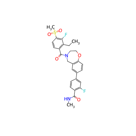 CCc1c(C(=O)N2CCOc3ccc(-c4ccc(C(=O)NC)c(F)c4)cc3C2)ccc(S(C)(=O)=O)c1F